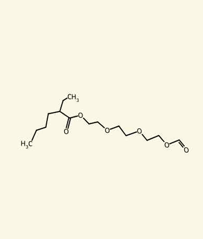 CCCCC(CC)C(=O)OCCOCCOCCOC=O